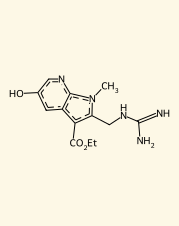 CCOC(=O)c1c(CNC(=N)N)n(C)c2ncc(O)cc12